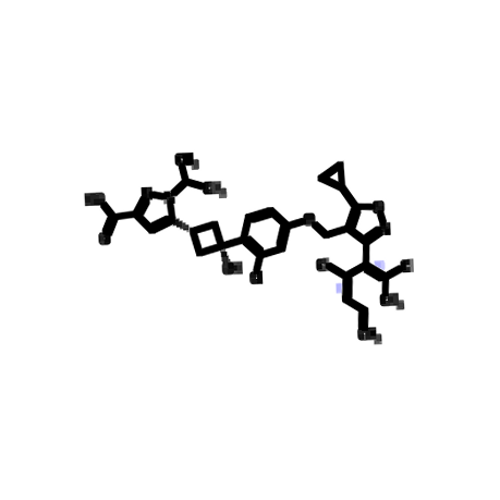 C=C/C=C(Cl)\C(=C(/C)Cl)c1noc(C2CC2)c1COc1ccc([C@]2(O)C[C@@H](c3cc(C(=O)O)nn3C(C)C)C2)c(Cl)c1